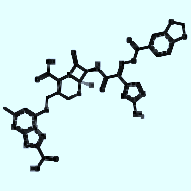 Cc1cc(SCC2=C(C(=O)O)N3C(=O)[C@@H](NC(=O)C(=NOC(=O)c4ccc5c(c4)OCO5)c4csc(N)n4)[C@H]3SC2)n2nc(C(=O)O)nc2n1